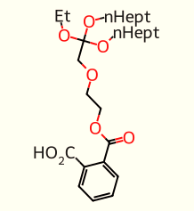 CCCCCCCOC(COCCOC(=O)c1ccccc1C(=O)O)(OCC)OCCCCCCC